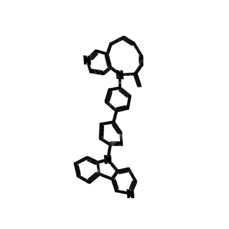 C=C1/C=C\C=C/Cc2cnccc2N1c1ccc(-c2ccc(-n3c4ccccc4c4cnccc43)cc2)cc1